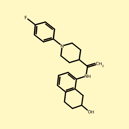 C=C(Nc1cccc2c1CC(O)CC2)C1CCN(c2ccc(F)cc2)CC1